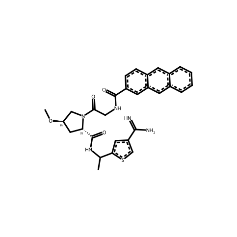 CO[C@@H]1C[C@@H](C(=O)NC(C)c2cc(C(=N)N)cs2)N(C(=O)CNC(=O)c2ccc3cc4ccccc4cc3c2)C1